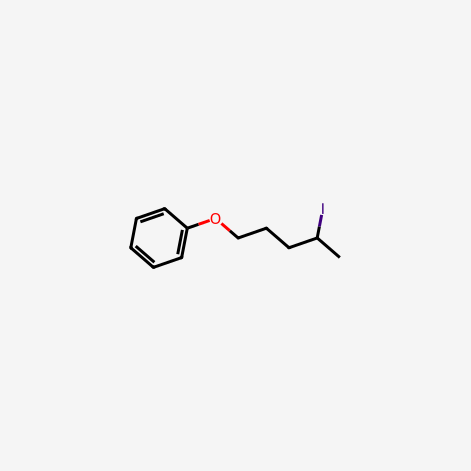 CC(I)CCCOc1ccccc1